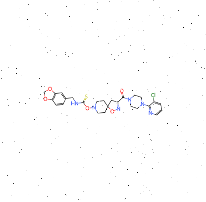 O=C(C1=NOC2(CCN(OC(=S)NCc3ccc4c(c3)OCO4)CC2)C1)N1CCN(c2ncccc2Cl)CC1